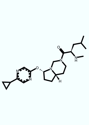 CN[C@H](CC(C)C)C(=O)N1CC[C@@H]2CC[C@H](Oc3cnc(C4CC4)cn3)N2C1